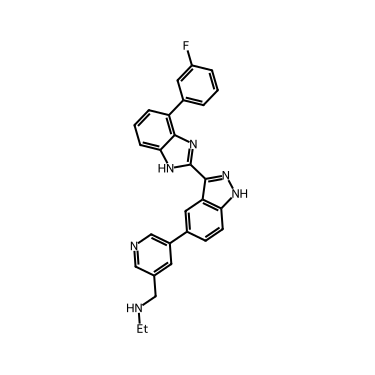 CCNCc1cncc(-c2ccc3[nH]nc(-c4nc5c(-c6cccc(F)c6)cccc5[nH]4)c3c2)c1